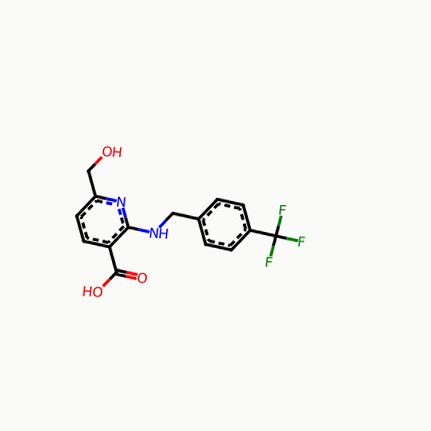 O=C(O)c1ccc(CO)nc1NCc1ccc(C(F)(F)F)cc1